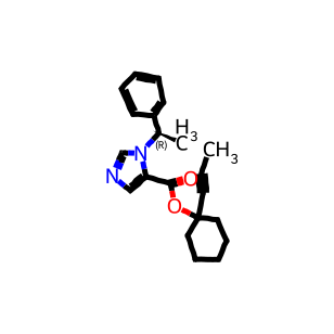 CC#CC1(OC(=O)c2cncn2[C@H](C)c2ccccc2)CCCCC1